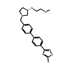 COCCO[C@H]1CCN(Cc2ccc(-c3ccc(-c4noc(C)n4)cc3)cc2)C1